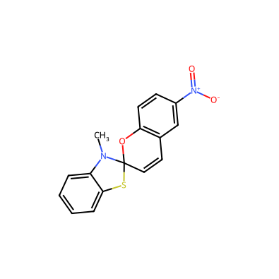 CN1c2ccccc2SC12C=Cc1cc([N+](=O)[O-])ccc1O2